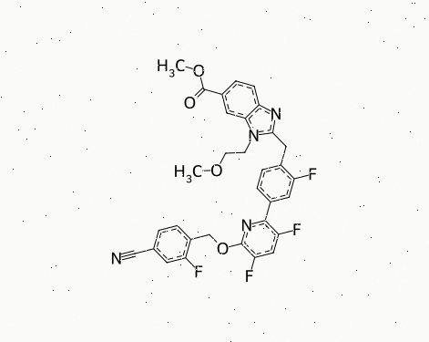 COCCn1c(Cc2ccc(-c3nc(OCc4ccc(C#N)cc4F)c(F)cc3F)cc2F)nc2ccc(C(=O)OC)cc21